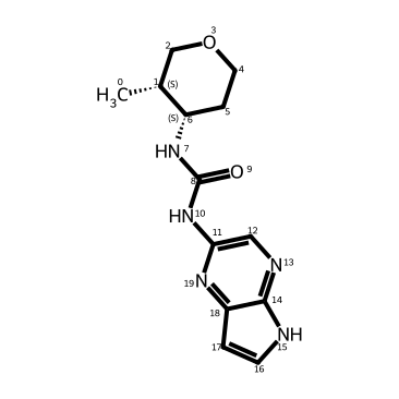 C[C@@H]1COCC[C@@H]1NC(=O)Nc1cnc2[nH]ccc2n1